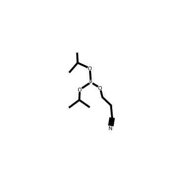 CC(C)OP(OCCC#N)OC(C)C